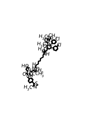 Cc1ncsc1-c1ccc(CNC(=O)[C@@H]2C[C@@H](O)CN2C(=O)[C@@H](NC(=O)CCCCCCCNC(=O)C[C@@]2(C)C[C@H](c3cccc(Cl)c3)[C@@H](c3ccc(Cl)cc3)N([C@H](CS(=O)(=O)C(C)C)C(C)C)C2=O)C(C)(C)C)cc1